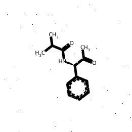 CC(=O)[C@H](NC(=O)C(C)C)c1ccccc1